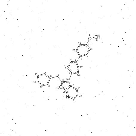 COc1ccc(-c2ccc(-c3c(Cc4ccccc4)oc4ncccc34)cc2)cc1